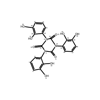 O=c1n(-c2cccc(O)c2O)c(=O)n(-c2cccc(O)c2O)c(=O)n1-c1cccc(O)c1O